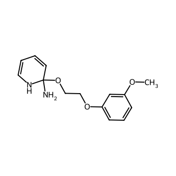 COc1cccc(OCCOC2(N)C=CC=CN2)c1